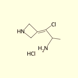 CC(N)C(Cl)=C1CNC1.Cl